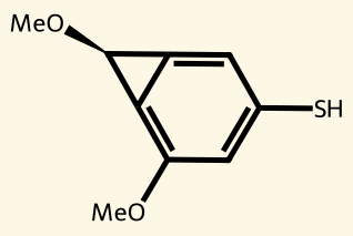 COc1cc(S)cc2c1[C@H]2OC